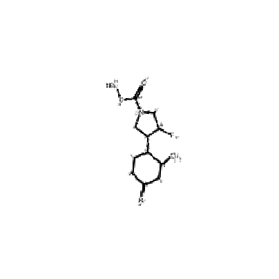 CC1CC(Br)CCC1C1CN(C(=O)OC(C)(C)C)CC1F